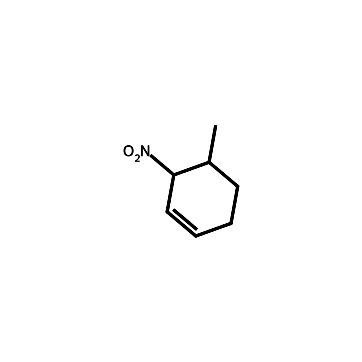 CC1CCC=CC1[N+](=O)[O-]